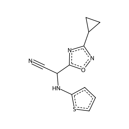 N#CC(Nc1cccs1)c1nc(C2CC2)no1